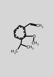 [CH2]C(C)c1cccc(C=C)c1OC